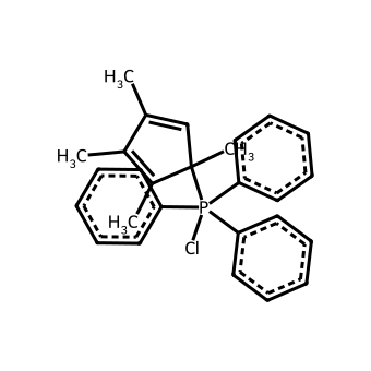 CC1=CC(C)(P(Cl)(c2ccccc2)(c2ccccc2)c2ccccc2)C(C)=C1C